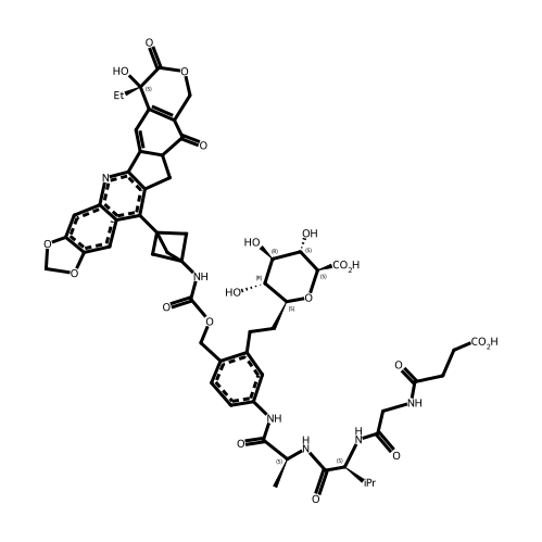 CC[C@@]1(O)C(=O)OCC2=C1C=C1c3nc4cc5c(cc4c(C46CC(NC(=O)OCc7ccc(NC(=O)[C@H](C)NC(=O)[C@@H](NC(=O)CNC(=O)CCC(=O)O)C(C)C)cc7CC[C@@H]7O[C@H](C(=O)O)[C@@H](O)[C@H](O)[C@H]7O)(C4)C6)c3CC1C2=O)OCO5